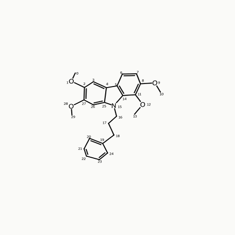 COc1cc2c3ccc(OC)c(OC)c3n(CCCc3ccccc3)c2cc1OC